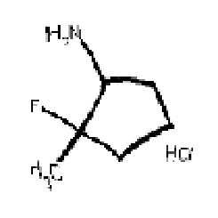 CC1(F)CCCC1N.Cl